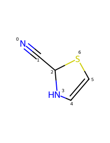 N#CC1NC=CS1